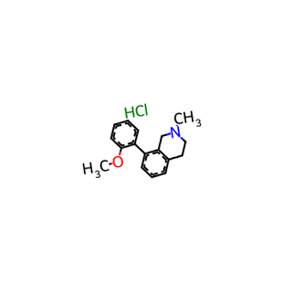 COc1ccccc1-c1cccc2c1CN(C)CC2.Cl